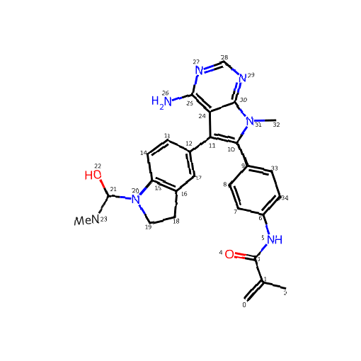 C=C(C)C(=O)Nc1ccc(-c2c(-c3ccc4c(c3)CCN4C(O)NC)c3c(N)ncnc3n2C)cc1